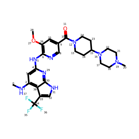 CNc1cc(Nc2ncc(C(=O)N3CCC(N4CCN(C)CC4)CC3)cc2OC)nc2[nH]cc(C(F)(F)F)c12